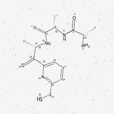 C[C@H](N)C(=O)N[C@@H](C)C(=O)N[C@@H](C)C(=O)c1cccc(SS)n1